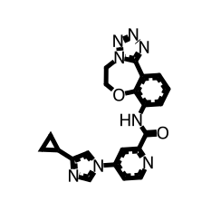 O=C(Nc1cccc2c1OCCn1nnnc1-2)c1cc(-n2cnc(C3CC3)c2)ccn1